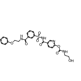 O=C(NCCO)Oc1ccc(C(=O)NS(=O)(=O)c2cccc(C(=O)NCCOc3ccccc3)c2)cn1